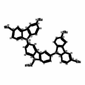 CCCCCCn1c2ccc(N3C4=C(C=C(C(C)(C)C)CC4)C4C=C(C(C)(C)C)C=CC43)cc2c2cc(-n3c4ccc(C(C)(C)C)cc4c4cc(C(C)(C)C)ccc43)ccc21